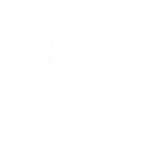 O=C1CCC(N2C(=O)c3ccc(N4CC(C#Cc5nnc6n5CCN(C5(C(=O)Nc7ccc(C(F)(F)F)cc7Cl)CCC5)C6)C4)cc3C2=O)C(=O)N1